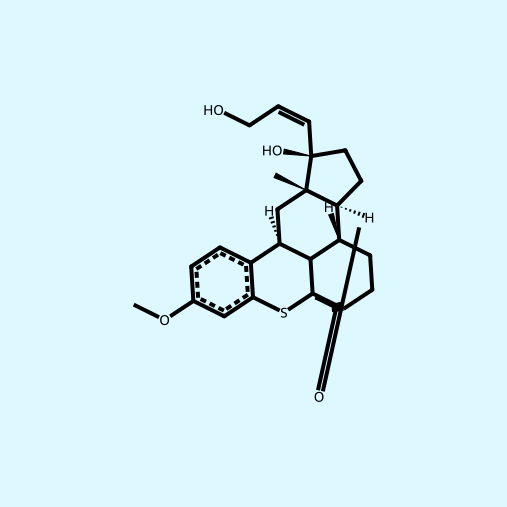 COc1ccc2c(c1)S[C@]13CCC(=O)C=C1CC[C@@H]1C3[C@@H]2C[C@@]2(C)[C@H]1CC[C@@]2(O)/C=C\CO